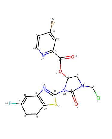 O=C(OC1CN(CCl)C(=O)N1c1nc2cc(F)ccc2s1)c1cc(Br)ccn1